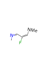 C/N=C\C(F)=C/NC